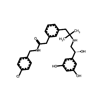 CC(C)(Cc1cccc(CC(=O)NCc2ccc(Cl)cc2)c1)NC[C@H](O)c1cc(O)cc(O)c1